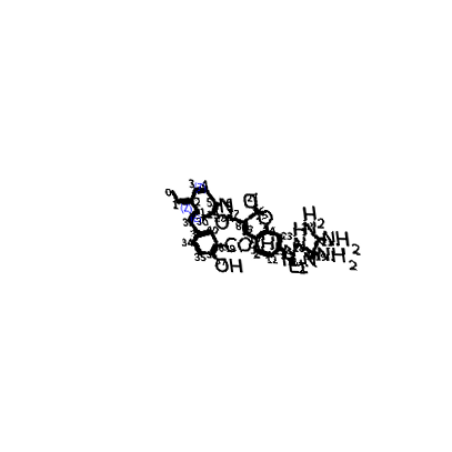 C/C=C(\C=C/c1nc(-c2cc3ccc(N(CC)NC(N)(N)C(N)N)cc3oc2=O)oc1C)/C=C/c1ccc(O)c(C(=O)O)c1